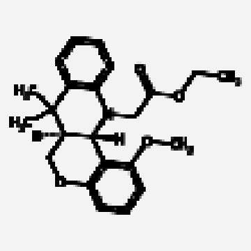 CCOC(=O)CN1c2ccccc2C(C)(C)[C@@H]2COc3cccc(OC)c3[C@H]21